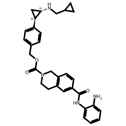 Nc1ccccc1NC(=O)c1ccc2c(c1)CCN(C(=O)OCc1ccc([C@H]3C[C@@H]3NCC3CC3)cc1)C2